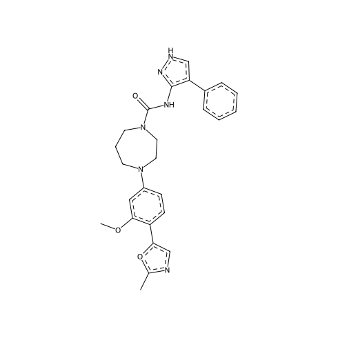 COc1cc(N2CCCN(C(=O)Nc3n[nH]cc3-c3ccccc3)CC2)ccc1-c1cnc(C)o1